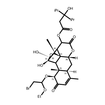 CCOC(CBr)O[C@@H]1C(=O)C=C(C)[C@@H]2C[C@H]3OC(=O)C(OC(=O)CC(O)(C(C)C)C(C)C)C4[C@@H](C)[C@@H](O)[C@@]5(O)OC[C@@]43C5[C@@]12C